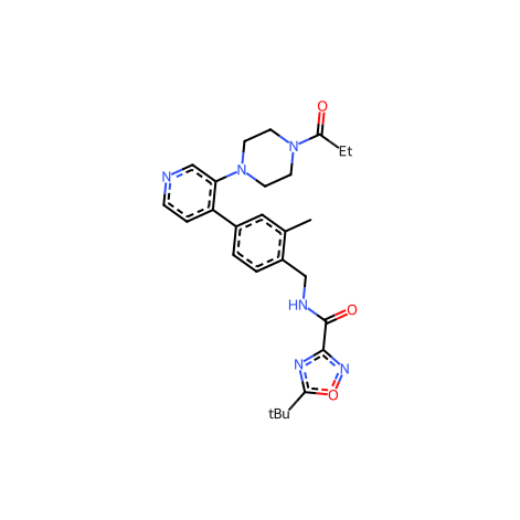 CCC(=O)N1CCN(c2cnccc2-c2ccc(CNC(=O)c3noc(C(C)(C)C)n3)c(C)c2)CC1